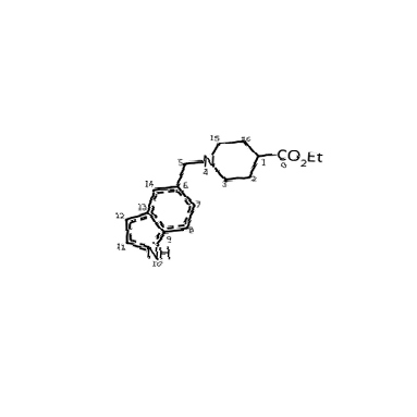 CCOC(=O)C1CCN(Cc2ccc3[nH]ccc3c2)CC1